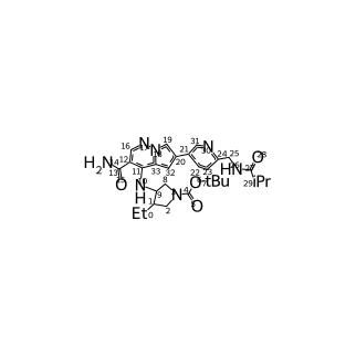 CCC1CN(C(=O)OC(C)(C)C)CC1Nc1c(C(N)=O)cnn2cc(-c3ccc(CNC(=O)C(C)C)nc3)cc12